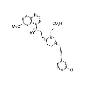 COc1ccc2nccc([C@H](O)CC[C@@H]3CCN(CC#Cc4cccc(Cl)c4)C[C@H]3CCC(=O)O)c2c1